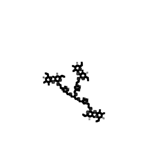 CCC1O[C@@H](OC2[C@@H](OCCn3cc(COCC(COCc4cn(CCO[C@H]5OC(CC)[C@@H](C)[C@H](C)C5O[C@@H]5OC(CC)[C@@H](C)[C@H](C)C5C)nn4)OCc4cn(CCO[C@H]5OC(CC)[C@@H](C)[C@H](C)C5O[C@@H]5OC(CC)[C@@H](C)[C@H](C)C5C)nn4)nn3)OC(CC)[C@@H](C)[C@@H]2C)C(C)[C@@H](C)[C@@H]1C